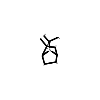 CC1CC2CCC1N2C(C)C